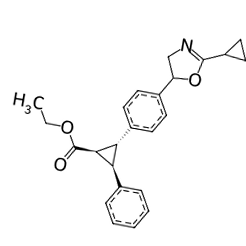 CCOC(=O)[C@@H]1[C@H](c2ccccc2)[C@H]1c1ccc(C2CN=C(C3CC3)O2)cc1